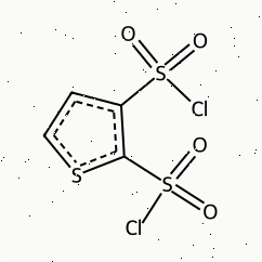 O=S(=O)(Cl)c1ccsc1S(=O)(=O)Cl